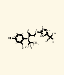 CC(C)N(C(=O)COc1nnc(C(F)(F)F)s1)c1ccc(F)cc1F